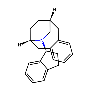 c1ccc2c(c1)C[C@H]1CC[C@@H](C2)N([C@H]2CCc3ccccc32)C1